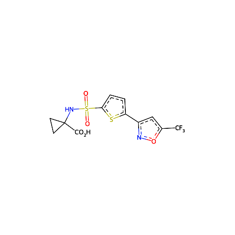 O=C(O)C1(NS(=O)(=O)c2ccc(-c3cc(C(F)(F)F)on3)s2)CC1